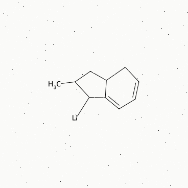 [Li][CH]1C2=CC=CCC2CC1C